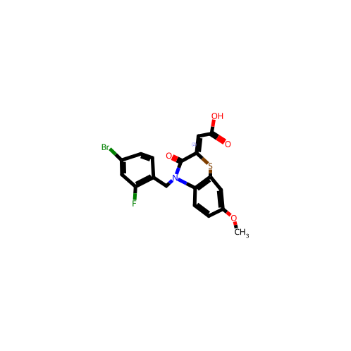 COc1ccc2c(c1)S/C(=C\C(=O)O)C(=O)N2Cc1ccc(Br)cc1F